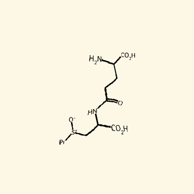 CC(C)[S+]([O-])CC(NC(=O)CCC(N)C(=O)O)C(=O)O